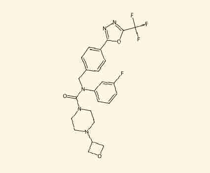 O=C(N1CCN(C2COC2)CC1)N(Cc1ccc(-c2nnc(C(F)(F)F)o2)cc1)c1cccc(F)c1